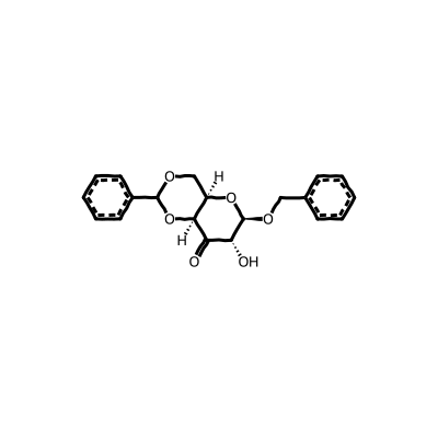 O=C1[C@@H](O)[C@H](OCc2ccccc2)O[C@@H]2COC(c3ccccc3)O[C@H]12